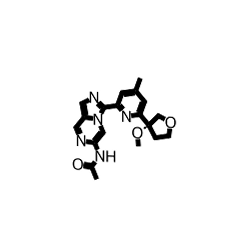 CO[C@@]1(c2cc(C)cc(-c3ncc4cnc(NC(C)=O)cn34)n2)CCOC1